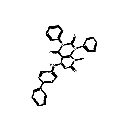 Cn1c(=O)cc(Nc2ccc(-c3ccccc3)cc2)c2c(=O)n(-c3ccccc3)c(=O)n(-c3ccccc3)c21